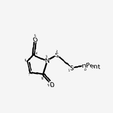 CCCCCSSN1C(=O)C=CC1=O